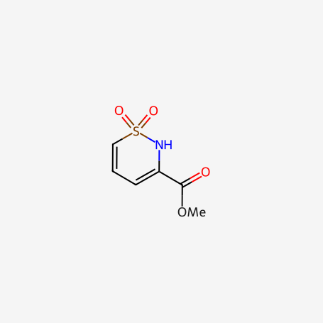 COC(=O)C1=CC=CS(=O)(=O)N1